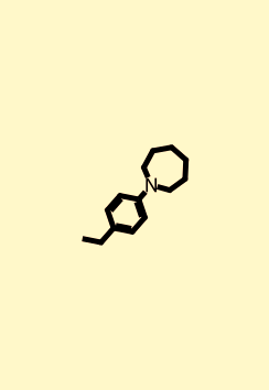 CCc1ccc(N2CCCCCC2)cc1